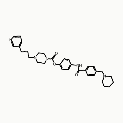 O=C(Nc1ccc(OC(=O)N2CCN(CCCc3cccnc3)CC2)cc1)c1ccc(CN2CCCCC2)cc1